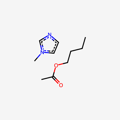 CCCCOC(C)=O.Cn1ccnc1